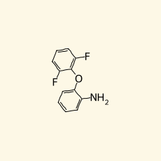 Nc1ccccc1Oc1c(F)cccc1F